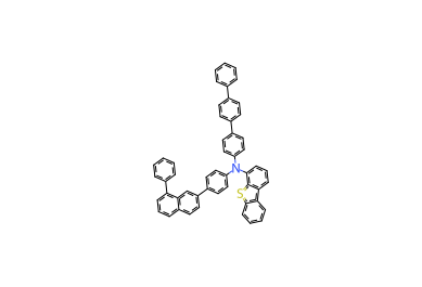 c1ccc(-c2ccc(-c3ccc(N(c4ccc(-c5ccc6cccc(-c7ccccc7)c6c5)cc4)c4cccc5c4sc4ccccc45)cc3)cc2)cc1